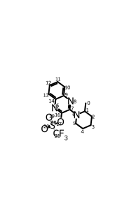 CC1CCCCN1c1nc2ccccc2nc1OS(=O)(=O)C(F)(F)F